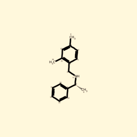 Cc1ccc(CN[C@H](C)c2ccccc2)c(C)c1